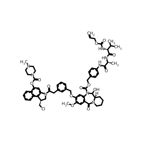 C=CCOC(=O)N[C@H](C(=O)N[C@@H](C)C(=O)Nc1ccc(COC(=O)N2c3cc(OCc4cccc(CC(=O)N5C[C@@H](CCl)c6c5cc(OC(=O)N5CCN(C)CC5)c5ccccc65)c4)c(OC)cc3C(=O)N3CCCC[C@H]3C2O)cc1)C(C)C